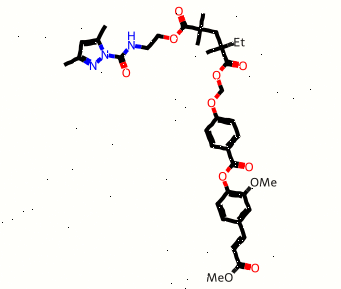 CCC(C)(CC(C)(C)C(=O)OCCNC(=O)n1nc(C)cc1C)C(=O)OCOc1ccc(C(=O)Oc2ccc(/C=C/C(=O)OC)cc2OC)cc1